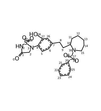 O=C1CN(c2ccc(CCC3CCCCCN3S(=O)(=O)c3ccccc3)cc2O)S(=O)(=O)N1